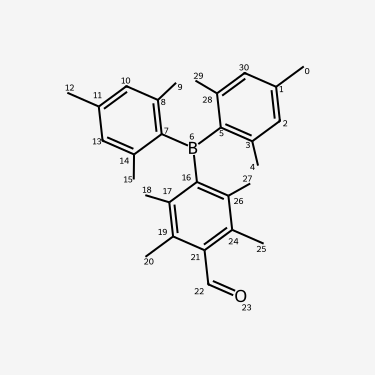 Cc1cc(C)c(B(c2c(C)cc(C)cc2C)c2c(C)c(C)c(C=O)c(C)c2C)c(C)c1